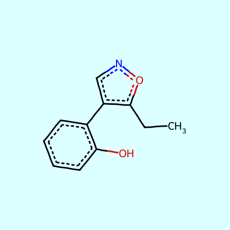 CCc1oncc1-c1ccccc1O